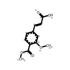 COC(=O)c1ccc(C=CC(=O)O)cc1OC